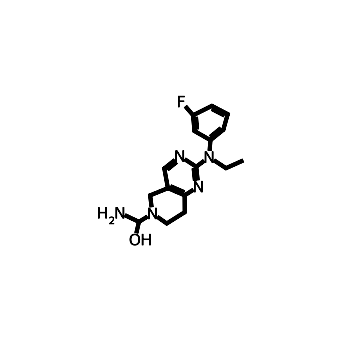 CCN(c1cccc(F)c1)c1ncc2c(n1)CCN(C(N)O)C2